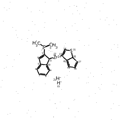 CP(C)C1=Cc2ccccc2[CH]1[Zr+2][C]1=CSC2C=CC=C12.[H-].[H-]